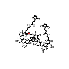 CSCC[C@H](NC(=O)[C@@H](N)CNC(=O)[C@H](CO)NC(=O)[C@@H](CO)NC(=O)[C@H](CO)NC(=O)CCNC(=O)CCN1C(=O)C=CC1=O)C(=O)NC(CS)C(=O)N[C@@H](CO)C(=O)N[C@H](CO)C(=O)N[C@@H](CO)C(=O)N[C@H](CCCCNC(=O)CCN1C(=O)C=CC1=O)C(N)=O